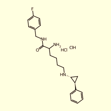 Cl.Cl.NC(CCCCN[C@@H]1C[C@H]1c1ccccc1)C(=O)NCc1ccc(F)cc1